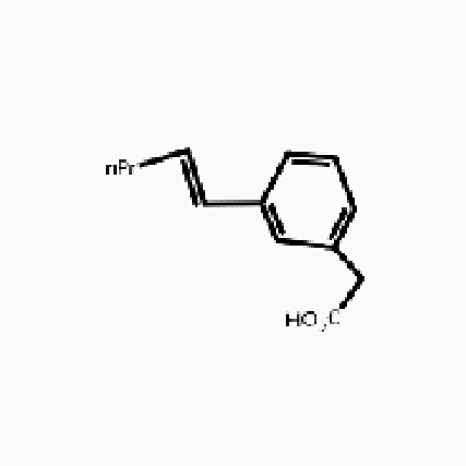 CCC/C=C/c1cccc(CC(=O)O)c1